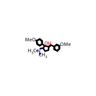 COc1ccc(C2(O)C(=Cc3cccc(OC)c3)CCC2CN(C)C)cc1